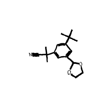 CC(C)(C)c1cc(C2OCCO2)cc(C(C)(C)C#N)c1